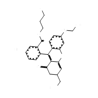 CCCCOC(=O)c1ccccc1C1=C2C(=N)CC(CC)C=C2Oc2cc(NCC)ccc21.Cl